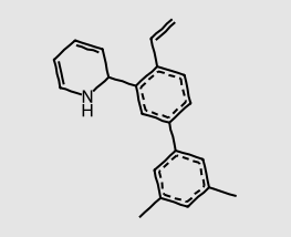 C=Cc1ccc(-c2cc(C)cc(C)c2)cc1C1C=CC=CN1